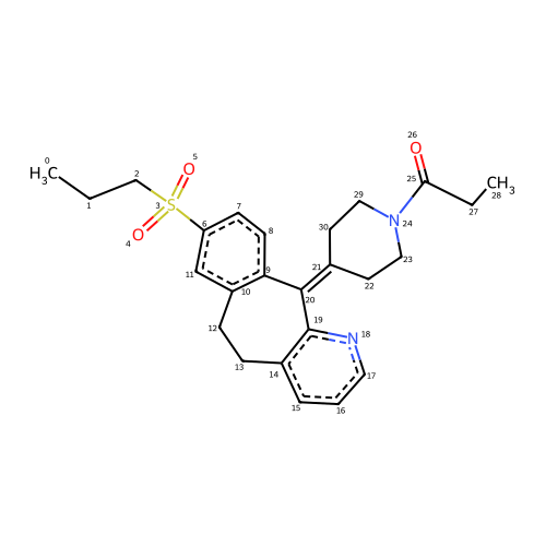 CCCS(=O)(=O)c1ccc2c(c1)CCc1cccnc1C2=C1CCN(C(=O)CC)CC1